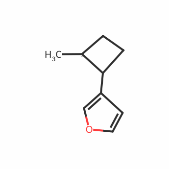 C[C]1CCC1c1ccoc1